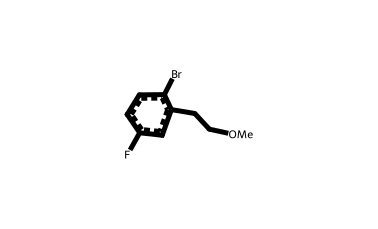 COCCc1cc(F)ccc1Br